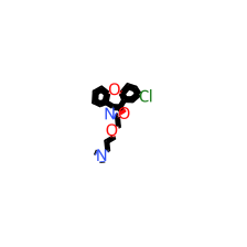 CN(C)CCCOCc1nc2c(o1)-c1cc(Cl)ccc1Oc1ccccc1-2